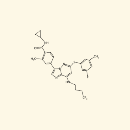 Cc1cc(F)cc(Sc2cc(NCCCC(F)(F)F)c3ncc(-c4ccc(C(=O)NC5CC5)c(C)c4)n3n2)c1